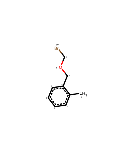 Cc1ccccc1COCBr